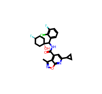 Cc1noc2nc(C3CC3)cc(C(=O)NC(c3cccc(F)c3Cl)[C@]3(O)CC[C@H](F)CC3)c12